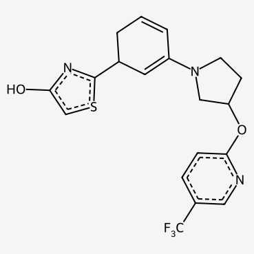 Oc1csc(C2C=C(N3CCC(Oc4ccc(C(F)(F)F)cn4)C3)C=CC2)n1